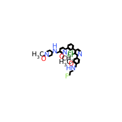 COc1cc(-c2nccc(-c3cccc(-c4ccc(CNC5CCN(C(C)=O)CC5)c(OC)n4)c3Cl)c2Cl)ccc1CNCCCF